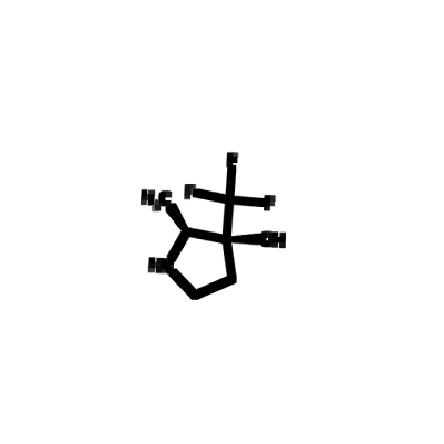 C[C@@H]1NCC[C@@]1(O)C(F)(F)F